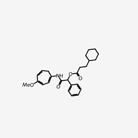 COC1=CC=C(NC(=O)C(OC(=O)CCC2CCCCC2)c2ccccc2)CC=C1